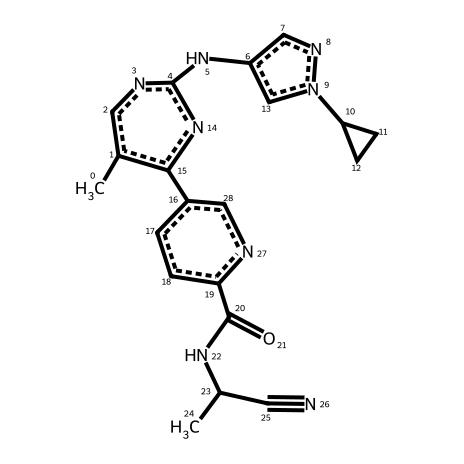 Cc1cnc(Nc2cnn(C3CC3)c2)nc1-c1ccc(C(=O)NC(C)C#N)nc1